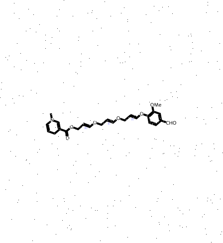 COc1cc(C=O)ccc1O/C=C/CO/C=C/CO/C=C/COC(=O)C1=CN(C)C=CC1